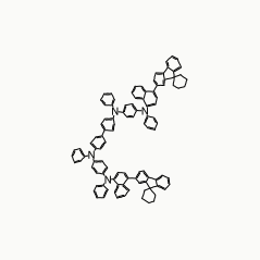 c1ccc(N(c2ccc(-c3ccc(N(c4ccccc4)c4ccc(N(c5ccccc5)c5ccc(-c6ccc7c(c6)C6(CCCCC6)c6ccccc6-7)c6ccccc56)cc4)cc3)cc2)c2ccc(N(c3ccccc3)c3ccc(-c4ccc5c(c4)C4(CCCCC4)c4ccccc4-5)c4ccccc34)cc2)cc1